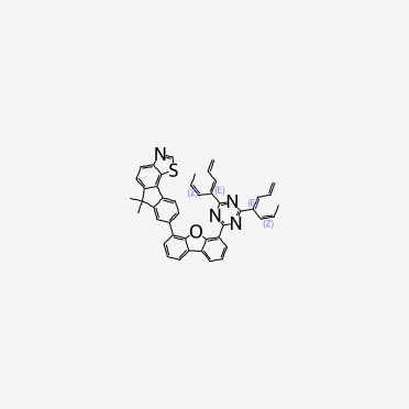 C=C/C=C(\C=C/C)c1nc(C(/C=C\C)=C/C=C)nc(-c2cccc3c2oc2c(-c4ccc5c(c4)C(C)(C)c4ccc6ncsc6c4-5)cccc23)n1